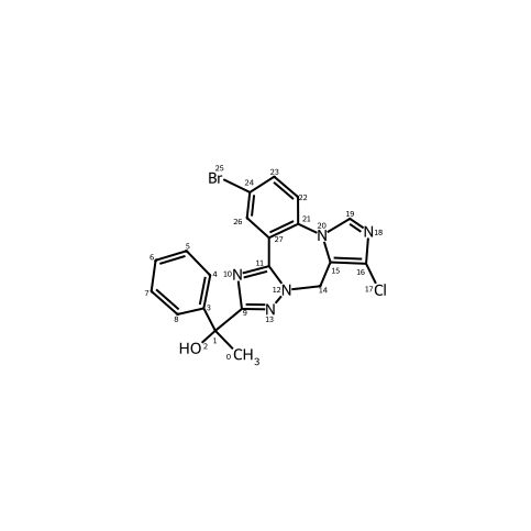 CC(O)(c1ccccc1)c1nc2n(n1)Cc1c(Cl)ncn1-c1ccc(Br)cc1-2